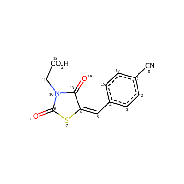 N#Cc1ccc(C=C2SC(=O)N(CC(=O)O)C2=O)cc1